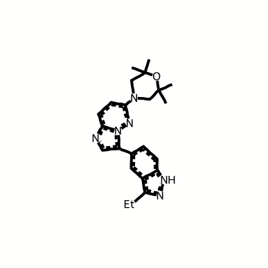 CCc1n[nH]c2ccc(-c3cnc4ccc(N5CC(C)(C)OC(C)(C)C5)nn34)cc12